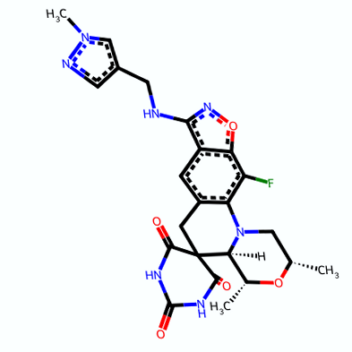 C[C@H]1CN2c3c(cc4c(NCc5cnn(C)c5)noc4c3F)CC3(C(=O)NC(=O)NC3=O)[C@@H]2[C@@H](C)O1